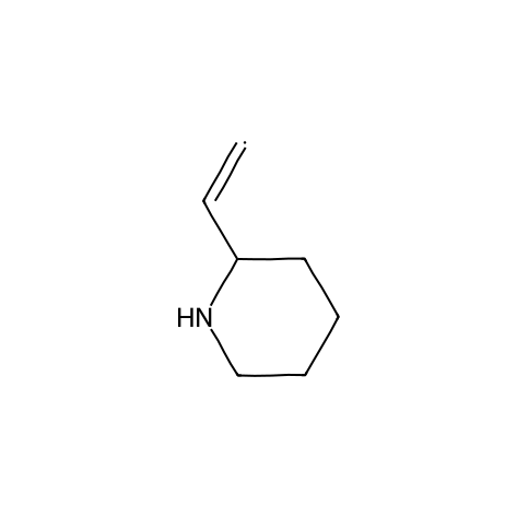 [CH]=CC1CCCCN1